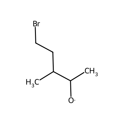 CC([O])C(C)CCBr